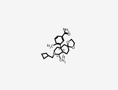 Cc1ccc(C(N)=O)cc1[C@]12CCN(CC3CCC3)[C@H](C)[C@@H]1CCC1(C2)OCCO1